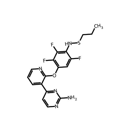 CCCSNc1c(F)cc(Oc2ncccc2-c2ccnc(N)n2)c(F)c1F